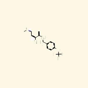 C=C(NCc1ccc(OC(F)(F)F)cc1)/C(N)=C\C=N/C